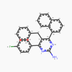 Nc1nc(-c2ccc(F)cc2)c(Cc2ccccc2)c(-c2cccc3ccccc23)n1